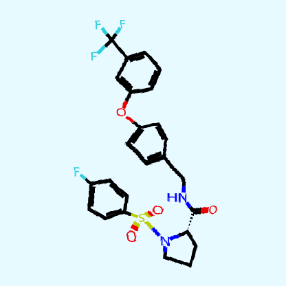 O=C(NCc1ccc(Oc2cccc(C(F)(F)F)c2)cc1)[C@@H]1CCCN1S(=O)(=O)c1ccc(F)cc1